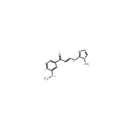 Cn1cnnc1S/C=C/C(=O)c1cccc(OC(F)(F)F)c1